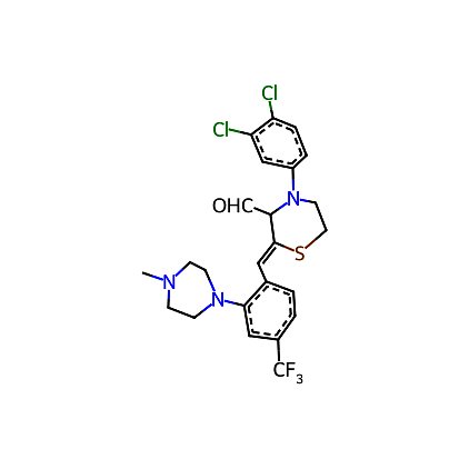 CN1CCN(c2cc(C(F)(F)F)ccc2C=C2SCCN(c3ccc(Cl)c(Cl)c3)C2C=O)CC1